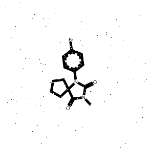 CN1C(=O)N(c2ccc(Br)cc2)C2(CCCC2)C1=O